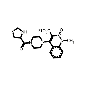 CCOC(=O)C1=C(N2CCN(C(=O)C3CSCN3)CC2)c2ccccc2N(C)[S+]1[O-]